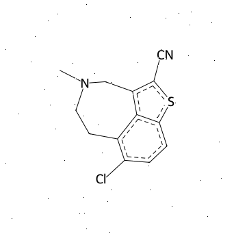 CN1CCc2c(Cl)ccc3sc(C#N)c(c23)C1